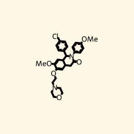 COC1=CC2C(C=C1OCCN1CCOCC1)CC(=O)N(c1ccc(OC)cc1)C2c1ccc(Cl)cc1